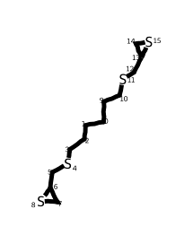 C(CCCSCC1CS1)CCSCC1CS1